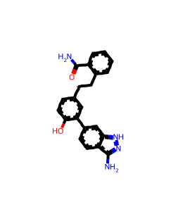 NC(=O)c1ccccc1C[CH]c1ccc(O)c(-c2ccc3c(N)n[nH]c3c2)c1